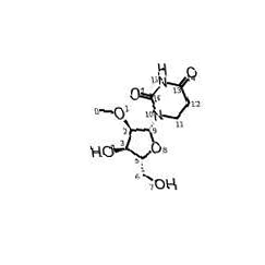 CO[C@@H]1[C@H](O)[C@@H](CO)O[C@H]1N1CCC(=O)NC1=O